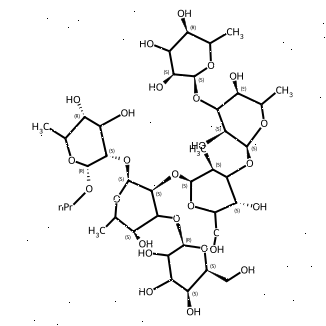 CCCO[C@@H]1OC(C)[C@H](O)C(O)[C@@H]1O[C@@H]1OC(C)[C@H](O)C(O[C@H]2O[C@@H](CO)[C@@H](O)C(O)C2O)[C@@H]1O[C@@H]1OC(CO)[C@@H](O)C(O[C@@H]2OC(C)[C@H](O)C(O[C@@H]3OC(C)[C@H](O)C(O)[C@@H]3O)[C@@H]2O)[C@@H]1C